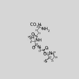 NC(CCC(=O)NC(CS)C(=O)[N]CC(=O)OC1=NC=CCC1=S)C(=O)O